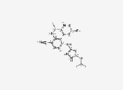 CC(C)Oc1cc(Nc2cc(NC(C)c3ccc(F)cn3)c(C#N)cn2)n[nH]1